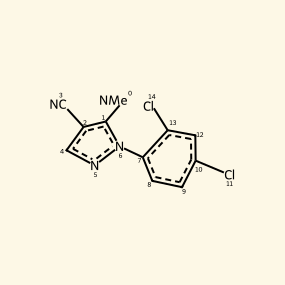 CNc1c(C#N)cnn1-c1ccc(Cl)cc1Cl